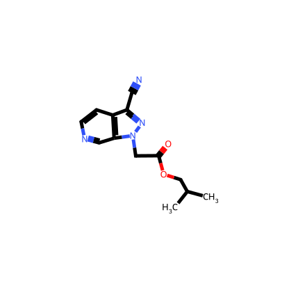 CC(C)COC(=O)Cn1nc(C#N)c2ccncc21